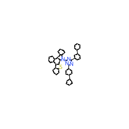 c1ccc(-c2ccc(-c3nc(-c4cccc(-c5ccccc5)c4)nc(-n4c5ccccc5c5c6ccccc6c6c7ccccc7sc6c54)n3)cc2)cc1